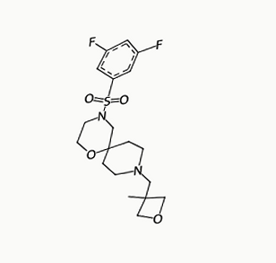 CC1(CN2CCC3(CC2)CN(S(=O)(=O)c2cc(F)cc(F)c2)CCO3)COC1